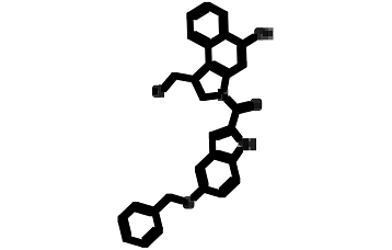 O=C(c1cc2cc(OCc3ccccc3)ccc2[nH]1)N1CC(CCl)c2c1cc(O)c1ccccc21